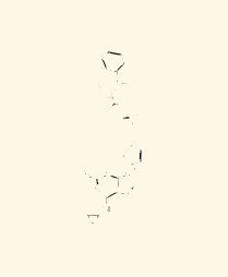 CC[C@@H](C(=O)OP(=O)(O)OC[C@@H]1C=C[C@H](n2cnc3c(NC4CC4)nc(N)nc32)C1)N(OC)c1ccccc1